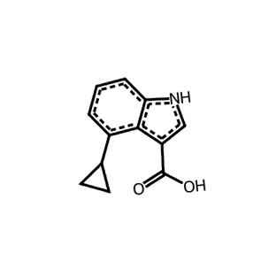 O=C(O)c1c[nH]c2cccc(C3CC3)c12